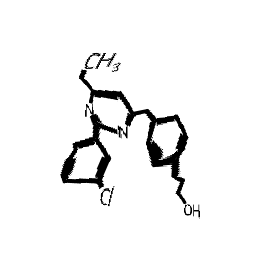 CCc1cc(Cc2ccc(CCO)cc2)nc(-c2cccc(Cl)c2)n1